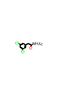 CC(=O)NC(=O)Cc1cc(Cl)cc(Cl)c1